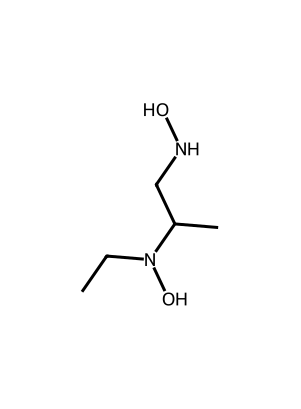 CCN(O)C(C)CNO